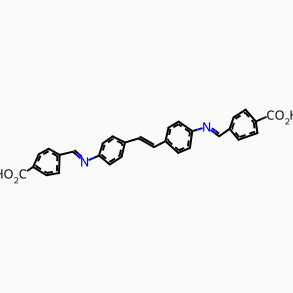 O=C(O)c1ccc(/C=N/c2ccc(/C=C/c3ccc(/N=C/c4ccc(C(=O)O)cc4)cc3)cc2)cc1